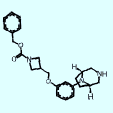 O=C(OCc1ccccc1)N1CC(COc2cccc(N3[C@@H]4CC[C@H]3CNC4)c2)C1